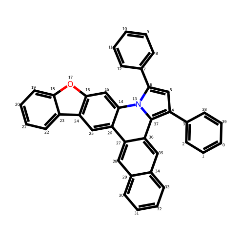 c1ccc(-c2cc(-c3ccccc3)n3c4cc5oc6ccccc6c5cc4c4cc5ccccc5cc4c23)cc1